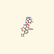 COc1ccc(C2CCC2)c2c1[C@@H](C(=O)NS(=O)(=O)c1cccc3[nH]ccc13)CCO2